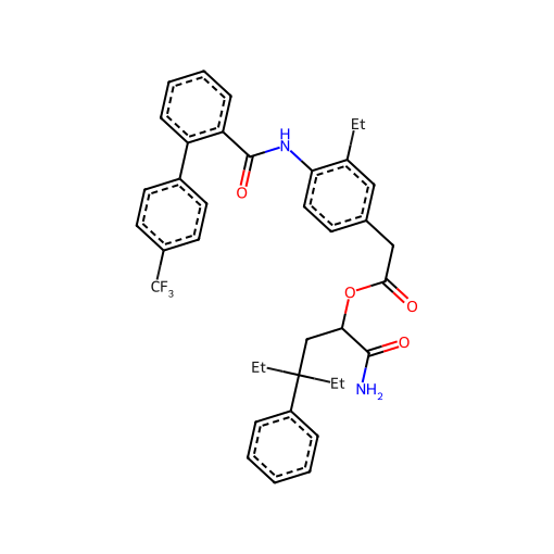 CCc1cc(CC(=O)OC(CC(CC)(CC)c2ccccc2)C(N)=O)ccc1NC(=O)c1ccccc1-c1ccc(C(F)(F)F)cc1